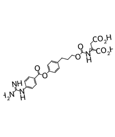 N=C(N)Nc1ccc(C(=O)Oc2ccc(CCCOC(=O)N[C@@H](CC(=O)O)C(=O)O)cc2)cc1